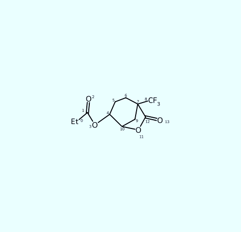 CCC(=O)OC1CCC2(C(F)(F)F)CC1OC2=O